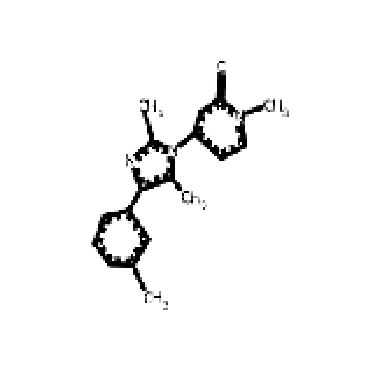 Cc1cccc(-c2nc(C)n(-c3ccn(C)c(=O)c3)c2C)c1